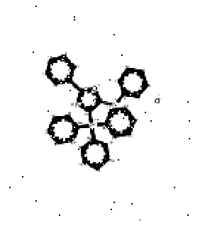 [Cl-].c1ccc(Nc2oc(-c3ccccc3)nc2[P+](c2ccccc2)(c2ccccc2)c2ccccc2)cc1